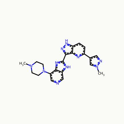 CN1CCN(c2cncc3[nH]c(-c4n[nH]c5ccc(-c6cnn(C)c6)nc45)nc23)CC1